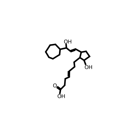 O=C(O)CCC=CCCC1C(O)CCC1C=CC(O)C1CCCCCC1